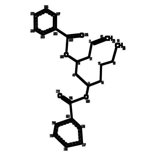 C=CCC(CC(CCCC)OC(=O)c1ccccc1)OC(=O)c1ccccc1